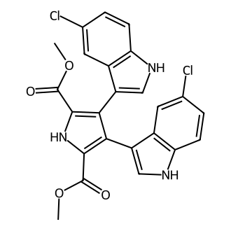 COC(=O)c1[nH]c(C(=O)OC)c(-c2c[nH]c3ccc(Cl)cc23)c1-c1c[nH]c2ccc(Cl)cc12